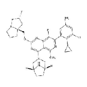 COc1nc(-c2cc(N)cc(Cl)c2C2CC2)c(F)c2nc(OC[C@@]34CCCN3C[C@H](F)C4)nc(N3C[C@H]4CC[C@@H](C3)N4)c12